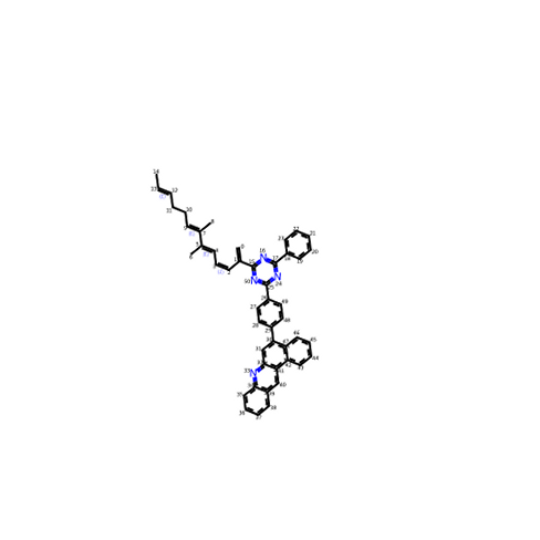 C=C(\C=C/C=C(C)/C(C)=C/CC/C=C/C)c1nc(-c2ccccc2)nc(-c2ccc(-c3cc4nc5ccccc5cc4c4ccccc34)cc2)n1